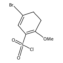 COC1=C(S(=O)(=O)Cl)C=C(Br)CC1